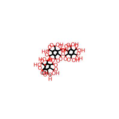 CCCCCCOC(=O)c1c(C(=O)O)c(C(=O)O)c(C(=O)O)c(C(=O)OC(=O)c2c(C(=O)O)c(C(=O)O)c(C(=O)O)c(C(=O)O)c2C(=O)O)c1C(=O)OC(=O)c1c(C(=O)O)c(C(=O)O)c(C(=O)O)c(C(=O)O)c1C(=O)O